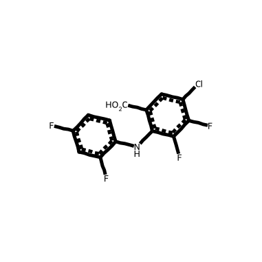 O=C(O)c1cc(Cl)c(F)c(F)c1Nc1ccc(F)cc1F